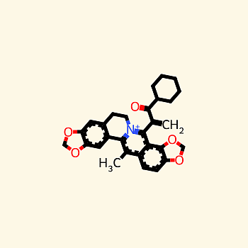 C=C(C(=O)C1CCCCC1)c1c2c3c(ccc2c(C)c2[n+]1CCc1cc4c(cc1-2)OCO4)OCO3